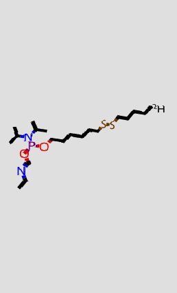 [2H]CCCCCSSCCCCCCOP(O/C=N/CC)N(C(C)C)C(C)C